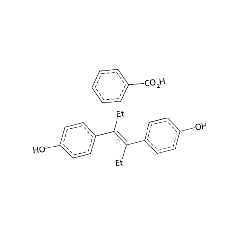 CC/C(=C(/CC)c1ccc(O)cc1)c1ccc(O)cc1.O=C(O)c1ccccc1